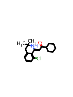 CC1(C)Cc2cccc(Cl)c2/C(=C/C(=O)C2CCCCC2)N1